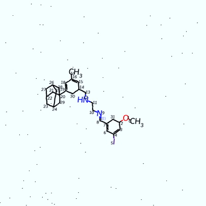 COC1C=C(I)C=C(/C=N/CCNCC2C=C(C)C=C(C34CC5CC(CC(C5)C3)C4)C2)C1